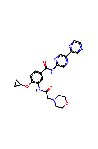 O=C(CN1CCOCC1)Nc1cc(C(=O)Nc2cnc(-c3cnccn3)cn2)ccc1OC1CC1